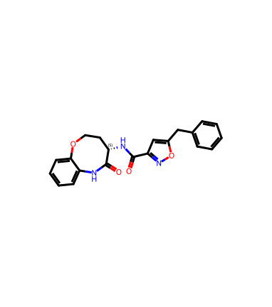 O=C(N[C@H]1CCOc2ccccc2NC1=O)c1cc(Cc2ccccc2)on1